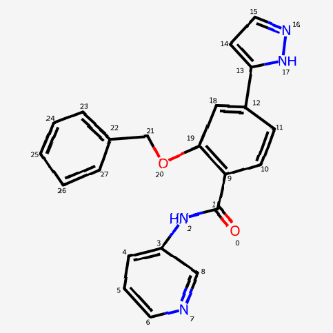 O=C(Nc1cccnc1)c1ccc(-c2ccn[nH]2)cc1OCc1ccccc1